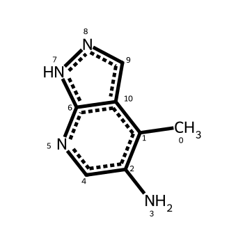 Cc1c(N)cnc2[nH]ncc12